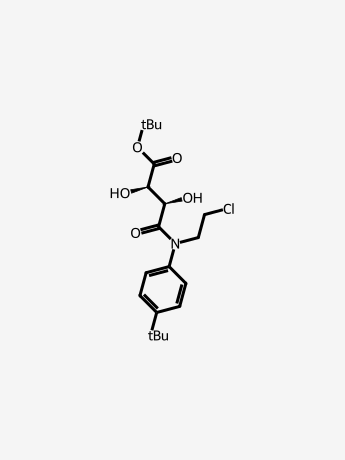 CC(C)(C)OC(=O)[C@H](O)[C@@H](O)C(=O)N(CCCl)c1ccc(C(C)(C)C)cc1